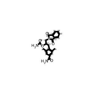 Cc1cc(C(N)=O)cc(C)c1CC(CN1C(=O)c2ccccc2C1=O)OC(N)=O